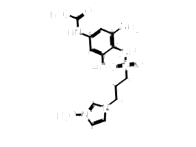 CC(=O)Nc1cc(N)c(NS(=O)(=O)CCCn2cc[n+](C)c2)c(O)c1